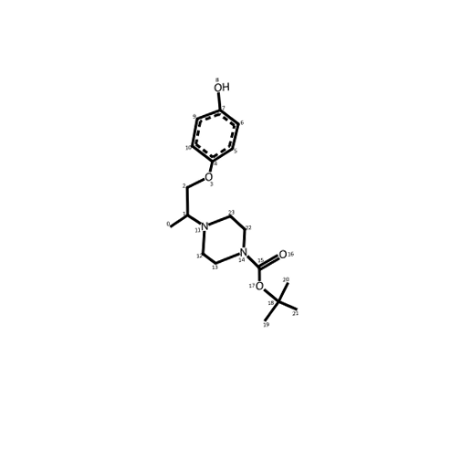 CC(COc1ccc(O)cc1)N1CCN(C(=O)OC(C)(C)C)CC1